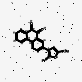 CC(C)c1oc(C(C)(C)C)cc1-c1ccc2c(c1)C(=O)C(=O)c1ccccc1-2